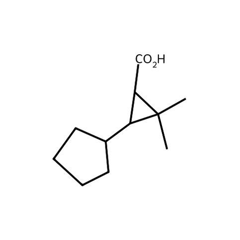 CC1(C)C(C(=O)O)C1C1CCCC1